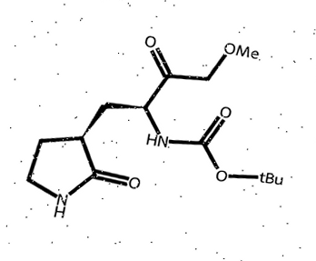 COCC(=O)[C@H](C[C@@H]1CCNC1=O)NC(=O)OC(C)(C)C